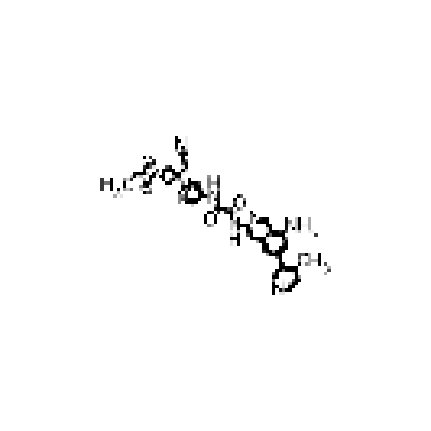 CCS(=O)(=O)N1CC(CC#N)(n2cc(NC(=O)C(=O)Nc3cc4cc(-c5cnccc5C)cc(N)c4cn3)cn2)C1